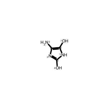 Nc1nc(O)[nH]c1O